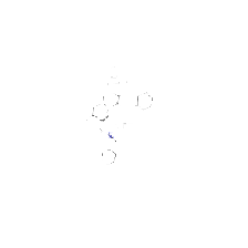 Cc1ccc(Cc2cc(S(=O)(=O)O)cc3cc(C)c(/N=N/c4ccc(C5CCCCC5)cc4C)c(O)c23)cc1